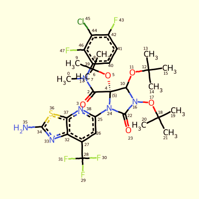 CN(C(=O)[C@@]1(OC(C)(C)C)C(OC(C)(C)C)N(OC(C)(C)C)C(=O)N1c1cc(C(F)(F)F)c2nc(N)sc2n1)c1ccc(F)c(Cl)c1F